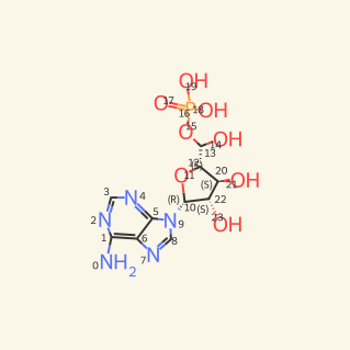 Nc1ncnc2c1ncn2[C@@H]1O[C@H](C(O)OP(=O)(O)O)[C@@H](O)[C@@H]1O